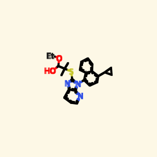 CCOC(O)C(C)(C)Sc1nc2cccnc2n1-c1ccc(C2CC2)c2ccccc12